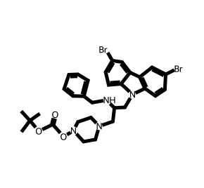 CC(C)(C)OC(=O)ON1CCN(CC(Cn2c3ccc(Br)cc3c3cc(Br)ccc32)NCc2ccccc2)CC1